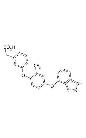 O=C(O)Cc1cccc(Oc2ccc(Oc3cccc4[nH]ncc34)cc2C(F)(F)F)c1